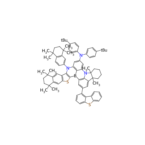 CC(C)(C)c1ccc(N(c2ccc(C(C)(C)C)cc2)c2cc3c4c(c2)N2c5c(cc(-c6cccc7sc8ccccc8c67)cc5C5(C)CCCCC25C)B4c2sc4cc5c(cc4c2N3c2ccc3c(c2)C(C)(C)CCC3(C)C)C(C)(C)CCC5(C)C)cc1